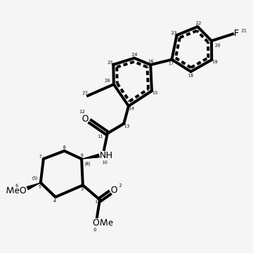 COC(=O)C1C[C@@H](OC)CC[C@H]1NC(=O)Cc1cc(-c2ccc(F)cc2)ccc1C